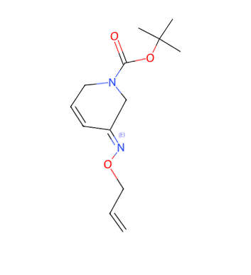 C=CCO/N=C1\C=CCN(C(=O)OC(C)(C)C)C1